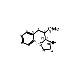 COC(Cc1ccccc1)[C@H]1NCCS1